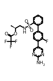 C[C@@H](CNS(=O)(=O)c1ccccc1-c1ccc(-c2cnc(N)nc2)c(F)c1)OC(=O)C(F)(F)F